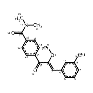 CCCOC(=Cc1cccc(C(C)(C)C)c1)C(=O)c1ccc(C(=O)N(C)C)cc1